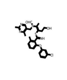 C/C(=C(\CCO)SC(=N)c1c(C)cccc1Oc1cccc(Cl)c1)N(C=O)Cc1cnc(C)nc1C